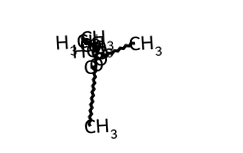 CCCCCCCCCCCCCCCCCCCC(=O)OCC(COP(=O)(O)OCC[N+](C)(C)C)OC(=O)CCCCCCCCCCC